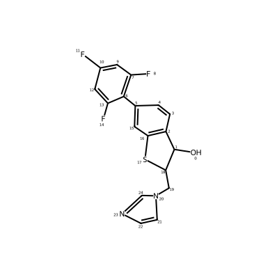 OC1c2ccc(-c3c(F)cc(F)cc3F)cc2SC1Cn1ccnc1